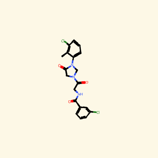 Cc1c(Cl)cccc1N1CN(C(=O)CNC(=O)c2cccc(Cl)c2)CC1=O